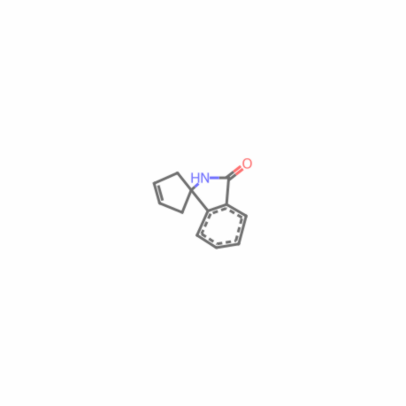 O=C1NC2(CC=CC2)c2ccccc21